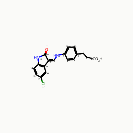 O=C(O)CCc1ccc(NC=C2C(=O)Nc3ccc(Cl)cc32)cc1